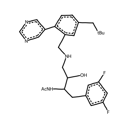 CC(=O)NC(Cc1cc(F)cc(F)c1)C(O)CNCc1cc(CC(C)(C)C)ccc1-c1cncnc1